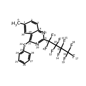 Cc1ccc2nc(C(F)(F)C(F)(F)C(F)(F)C(F)(F)F)nc(Sc3ccccc3)c2c1